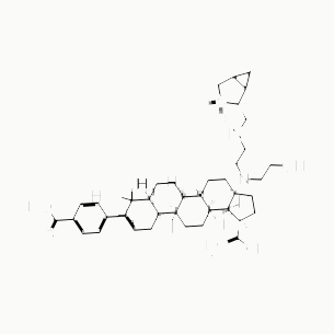 C=C(C)[C@@H]1CC[C@]2(N(CCO)CCNC[C@@H]3C4CC4CS3(=O)=O)CC[C@]3(C)[C@H](CC[C@@H]4[C@@]5(C)CC=C(c6ccc(C(=O)O)cc6)C(C)(C)[C@@H]5CC[C@]43C)[C@@H]12